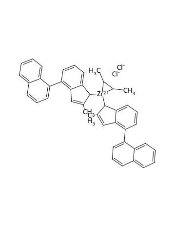 CC1=Cc2c(-c3cccc4ccccc34)cccc2[CH]1[Zr+2]1([CH]2C(C)=Cc3c(-c4cccc5ccccc45)cccc32)[CH](C)[CH]1C.[Cl-].[Cl-]